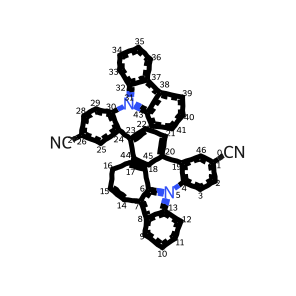 N#Cc1ccc(-n2c3c(c4ccccc42)C=CCC#C3)c(C2=CC=C(c3cc(C#N)ccc3-n3c4ccccc4c4ccccc43)CC2)c1